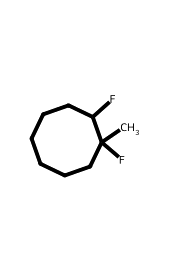 CC1(F)CCCCCCC1F